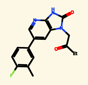 CCC(=O)Cn1c(=O)[nH]c2ncc(-c3ccc(F)c(C)c3)cc21